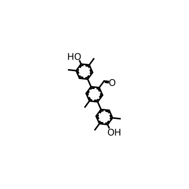 Cc1cc(-c2cc(C)c(O)c(C)c2)c(C=O)cc1-c1cc(C)c(O)c(C)c1